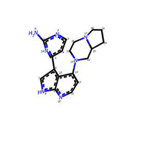 Nc1nccc(-c2c[nH]c3nccc(N4CCN5CCCC5C4)c23)n1